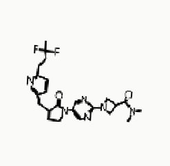 CN(C)C(=O)C1CN(c2ncc(N3CCC(Cc4ccc(CCC(C)(F)F)nc4)C3=O)cn2)C1